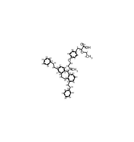 CCOC(Cc1ccc(OCCN(C)C2c3ccc(CCc4ccccc4)cc3CCc3c(CCc4ccccc4)cccc32)cc1)C(=O)O